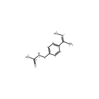 N/C(=N/O)c1ccc(CNC(=O)O)cc1